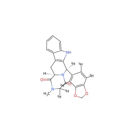 [2H]c1c([2H])c([C@]2([2H])c3[nH]c4ccccc4c3C[C@@H]3C(=O)N(C)C([2H])([2H])C(=O)N32)c([2H])c2c1OCO2